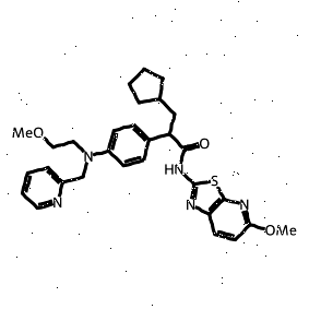 COCCN(Cc1ccccn1)c1ccc(C(CC2CCCC2)C(=O)Nc2nc3ccc(OC)nc3s2)cc1